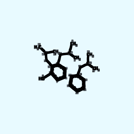 CN(C)Cc1cccc(O)c1CN(C)C.CN(C)Cc1ccccc1